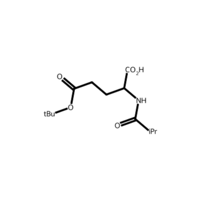 CC(C)C(=O)NC(CCC(=O)OC(C)(C)C)C(=O)O